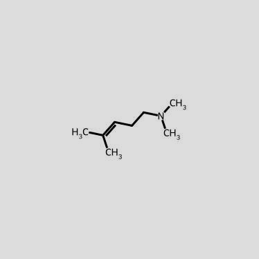 CC(C)=CCCN(C)C